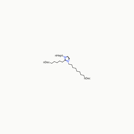 CCCCCCCCCCCCCCCCCC[n+]1ccn(CCCCCCC)c1CCCCCCCCCCCCCCC